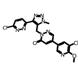 COc1ncc(-c2cnn(Cc3c(-c4ccc(Cl)nn4)nnn3C)c(=O)c2)cc1Cl